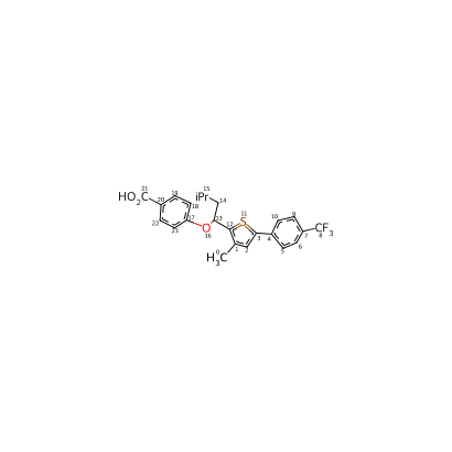 Cc1cc(-c2ccc(C(F)(F)F)cc2)sc1C(CC(C)C)Oc1ccc(C(=O)O)cc1